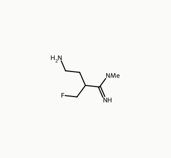 CNC(=N)C(CF)CCN